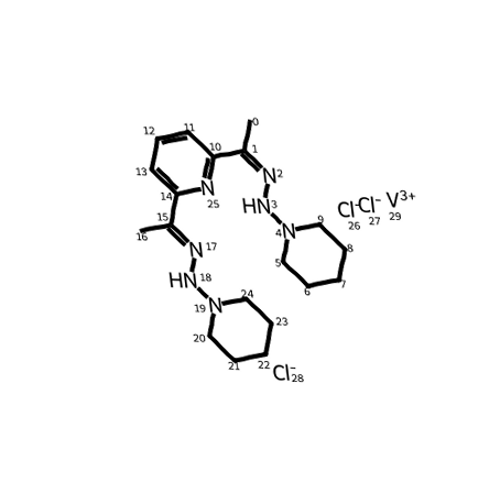 CC(=NNN1CCCCC1)c1cccc(C(C)=NNN2CCCCC2)n1.[Cl-].[Cl-].[Cl-].[V+3]